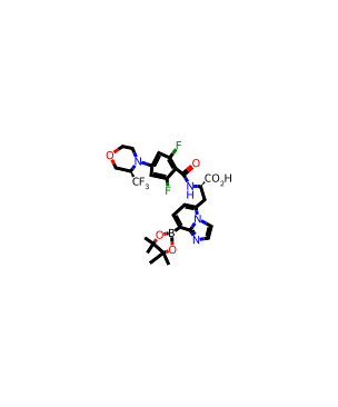 CC1(C)OB(c2ccc(C[C@H](NC(=O)c3c(F)cc(N4CCOC[C@@H]4C(F)(F)F)cc3F)C(=O)O)n3ccnc23)OC1(C)C